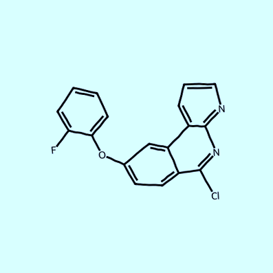 Fc1ccccc1Oc1ccc2c(Cl)nc3ncccc3c2c1